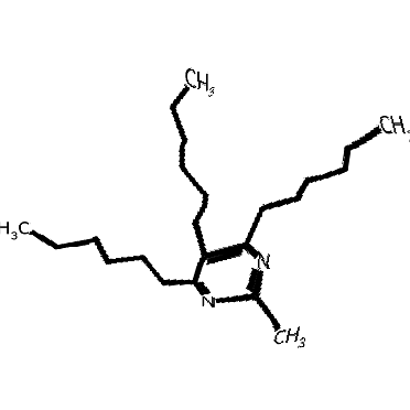 CCCCCCc1nc(C)nc(CCCCCC)c1CCCCCC